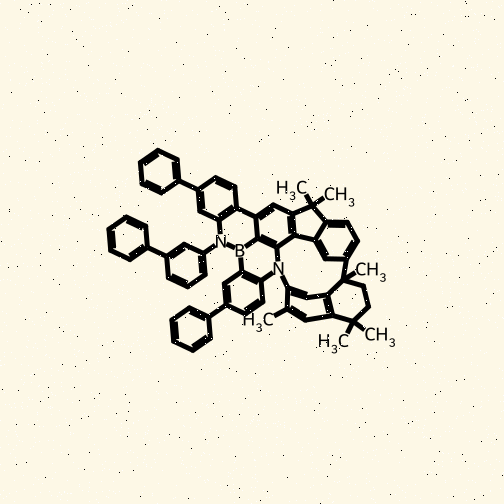 Cc1cc2c3cc1N1c4ccc(-c5ccccc5)cc4B4c5c(cc6c(c51)-c1cc(ccc1C6(C)C)C3(C)CCC2(C)C)-c1ccc(-c2ccccc2)cc1N4c1cccc(-c2ccccc2)c1